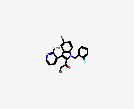 COc1ncccc1-c1c(C(=O)CC(C)(C)C)n(Cc2ccccc2F)c2ccc(C(F)(F)F)cc12